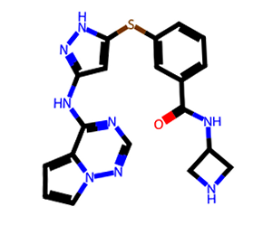 O=C(NC1CNC1)c1cccc(Sc2cc(Nc3ncnn4cccc34)n[nH]2)c1